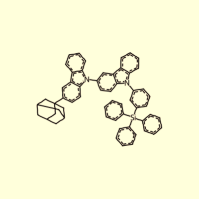 c1ccc([Si](c2ccccc2)(c2ccccc2)c2cccc(-n3c4ccccc4c4cc(-n5c6ccccc6c6cc(C78CC9CC(CC(C9)C7)C8)ccc65)ccc43)c2)cc1